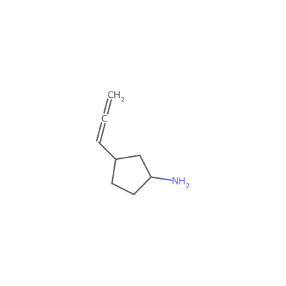 C=C=CC1CCC(N)C1